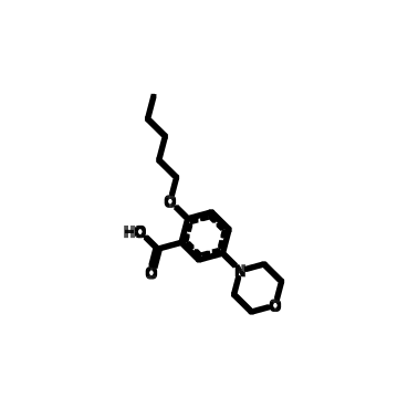 CCCCCOc1ccc(N2CCOCC2)cc1C(=O)O